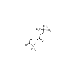 C[C@@H](CCC(=O)COC(C)(C)C)C(=O)O